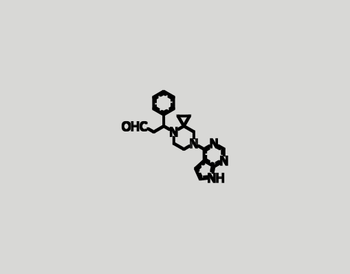 O=CCC(c1ccccc1)N1CCN(c2ncnc3[nH]ccc23)CC12CC2